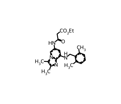 CCOC(=O)CC(=O)Nc1cc(NCc2c(C)cccc2C)c2nc(C)c(C)n2c1